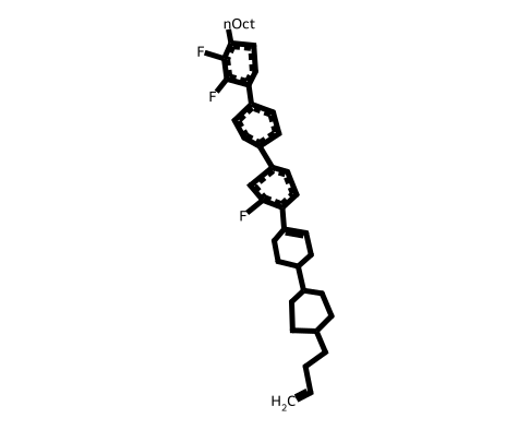 C=CCCC1CCC(C2CC=C(c3ccc(-c4ccc(-c5ccc(CCCCCCCC)c(F)c5F)cc4)cc3F)CC2)CC1